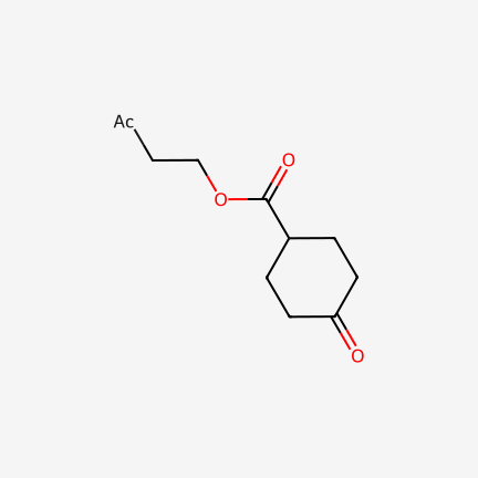 CC(=O)CCOC(=O)C1CCC(=O)CC1